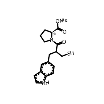 COC(=O)[C@@H]1CCCN1C(=O)C(CS)Cc1ccc2[nH]ccc2c1